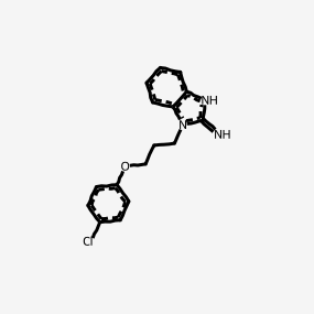 N=c1[nH]c2ccccc2n1CCCOc1ccc(Cl)cc1